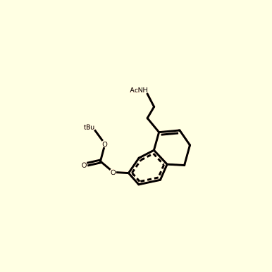 CC(=O)NCCC1=CCCc2ccc(OC(=O)OC(C)(C)C)cc21